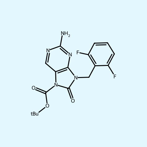 CC(C)(C)OC(=O)n1c(=O)n(Cc2c(F)cccc2F)c2nc(N)ncc21